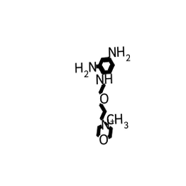 C[N+]1(CCCOCCNc2ccc(N)cc2N)CCOCC1